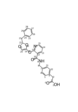 O=C(O)Cc1ccc(CNC(=O)c2cccnc2OC2=COC(Cc3ccccc3)O2)cc1